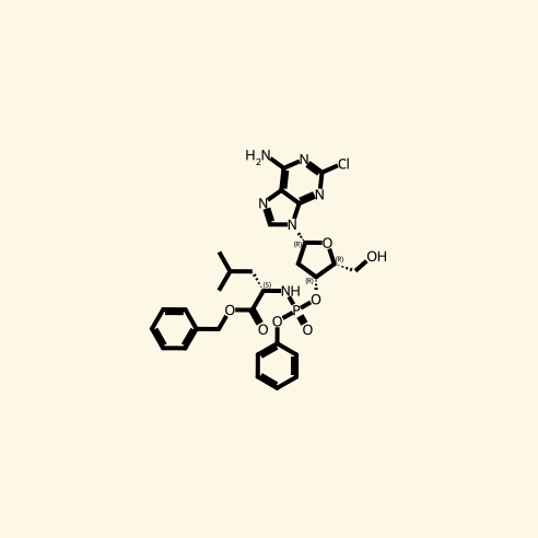 CC(C)C[C@H](NP(=O)(Oc1ccccc1)O[C@@H]1C[C@H](n2cnc3c(N)nc(Cl)nc32)O[C@@H]1CO)C(=O)OCc1ccccc1